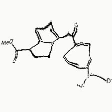 COC(=O)C1CCn2c(C(=O)c3ccc([S+](C)[O-])cc3)ccc21